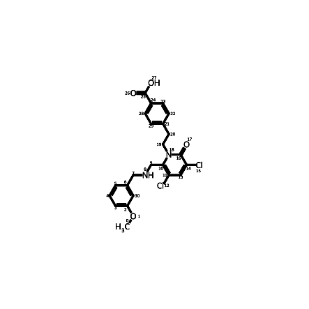 COc1cccc(CNCc2c(Cl)cc(Cl)c(=O)n2CCc2ccc(C(=O)O)cc2)c1